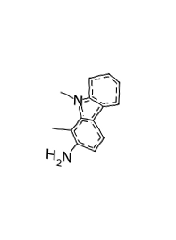 Cc1c(N)ccc2c3ccccc3n(C)c12